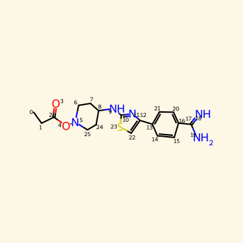 CCC(=O)ON1CCC(Nc2nc(-c3ccc(C(=N)N)cc3)cs2)CC1